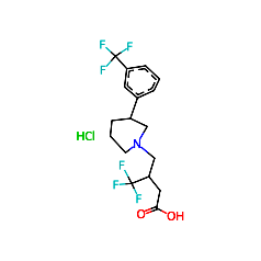 Cl.O=C(O)CC(CN1CCCC(c2cccc(C(F)(F)F)c2)C1)C(F)(F)F